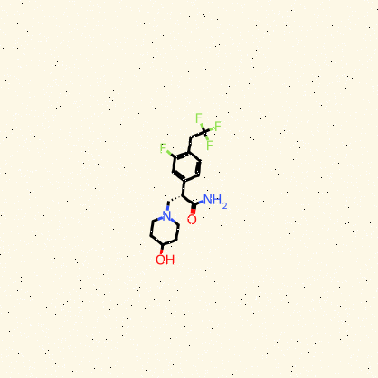 NC(=O)[C@H](CN1CCC(O)CC1)c1ccc(CC(F)(F)F)c(F)c1